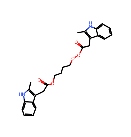 Cc1[nH]c2ccccc2c1CC(=O)OCCCCOOC(=O)Cc1c(C)[nH]c2ccccc12